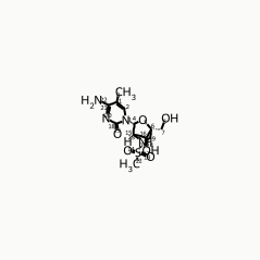 Cc1cn([C@@H]2O[C@@]3(CO)CN(S(C)(=O)=O)[C@@H]2[C@@H]3O)c(=O)nc1N